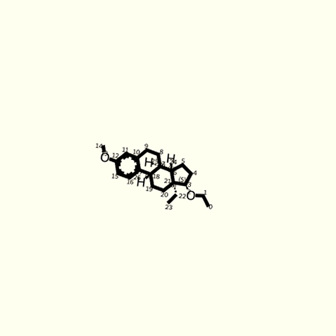 CCO[C@H]1CC[C@H]2[C@@H]3CCc4cc(OC)ccc4[C@H]3CC[C@]12CC